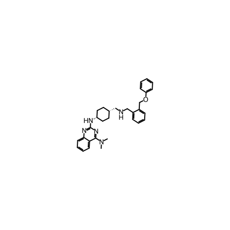 CN(C)c1nc(N[C@H]2CC[C@@H](CNCc3ccccc3COc3ccccc3)CC2)nc2ccccc12